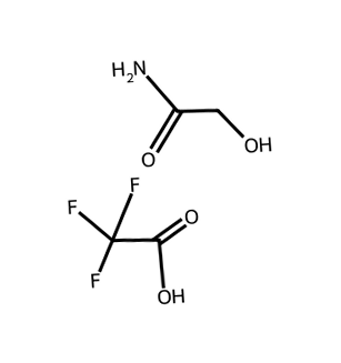 NC(=O)CO.O=C(O)C(F)(F)F